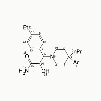 CCCC1(C(C)=O)CCN(C(c2ccc(CC)cc2)C(O)C(N)=O)CC1